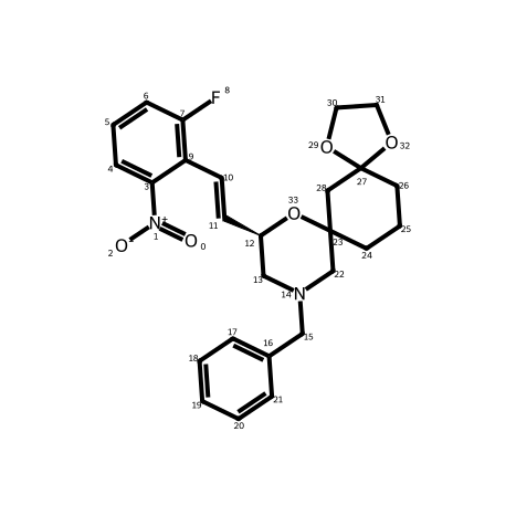 O=[N+]([O-])c1cccc(F)c1C=C[C@@H]1CN(Cc2ccccc2)CC2(CCCC3(C2)OCCO3)O1